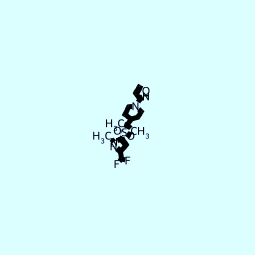 Cn1nc(C(F)F)cc1S(=O)(=O)C(C)(C)C1CCN(c2ccon2)CC1